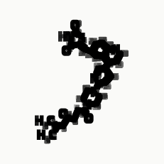 CC(C)=CC(=O)CCC(=O)N1CCN(c2ccc(-c3ccnc4ccc(/C=C5\SC(=O)NC5=O)cc34)cn2)CC1